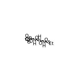 CCSCC(=O)NCC(=O)NCC(=O)NCC(=O)ON1C(=O)CCC1=O